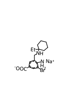 CCC1(NCc2cc(C(=O)[O-])cc(Br)c2N)CCCCC1.[Na+]